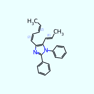 C/C=C\C=C/c1nc(-c2ccccc2)n(-c2ccccc2)c1/C=C/C